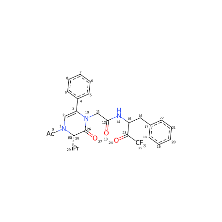 CC(=O)N1C=C(c2ccccc2)N(CC(=O)NC(Cc2ccccc2)C(=O)C(F)(F)F)C(=O)[C@@H]1C(C)C